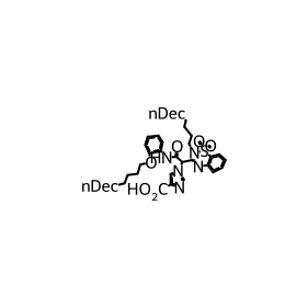 CCCCCCCCCCCCCCOc1ccccc1NC(=O)C(C1=Nc2ccccc2S(=O)(=O)N1CCCCCCCCCCCCCC)n1cnc(C(=O)O)c1